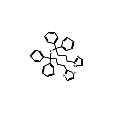 c1ccc(C(CCCc2ncc[nH]2)(OC(CCCc2ncc[nH]2)(c2ccccc2)c2ccccc2)c2ccccc2)cc1